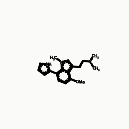 COc1ccc(-c2ccc[nH]2)c2c1c(CCN(C)C)cn2C